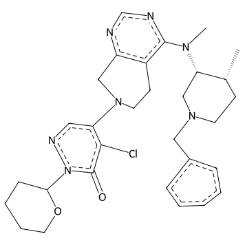 C[C@@H]1CCN(Cc2ccccc2)C[C@@H]1N(C)c1ncnc2c1CCN(c1cnn(C3CCCCO3)c(=O)c1Cl)C2